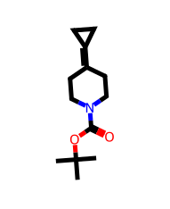 CC(C)(C)OC(=O)N1CCC(=C2CC2)CC1